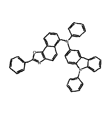 c1ccc(-c2nc3ccc4c(N(c5ccccc5)c5ccc6c(c5)c5ccccc5n6-c5ccccc5)cccc4c3o2)cc1